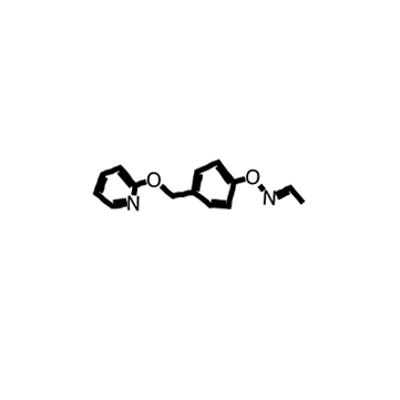 CC=NOc1ccc(COc2ccccn2)cc1